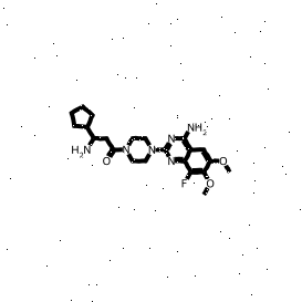 COc1cc2c(N)nc(N3CCN(C(=O)CC(N)C4CCCC4)CC3)nc2c(F)c1OC